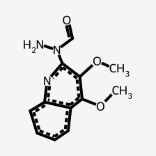 COc1c(N(N)C=O)nc2ccccc2c1OC